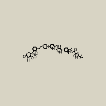 Cc1cc(-c2cc(Nc3ccc(N4CCN(CCc5cccc6c5oc(=O)n6C5CCC(=O)NC5=O)CC4)cn3)ncn2)ccc1[C@@H](C)NC(=O)c1nc(C(C)(C)C)no1